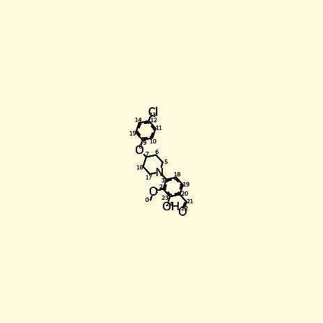 COc1c(N2CCC(Oc3ccc(Cl)cc3)CC2)ccc(C=O)c1O